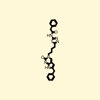 O=C(Cc1ccccc1)Nc1nnc(CCCCn2cc3cc(Cc4ccccc4)[nH]c3nc2=O)s1